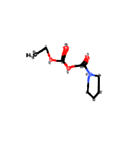 CCOC(=O)OC(=O)N1CCCC1